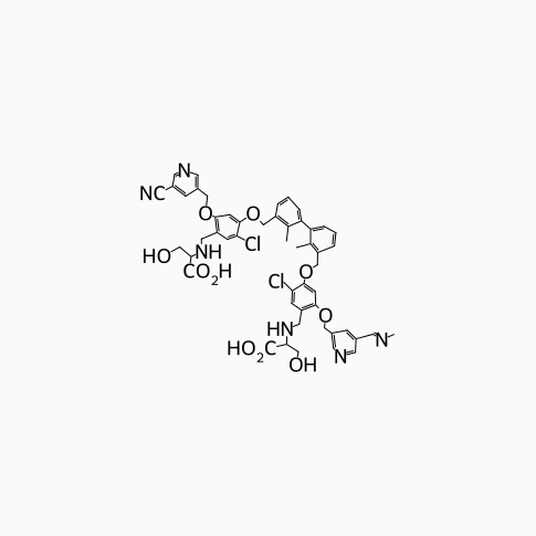 C/N=C/c1cncc(COc2cc(OCc3cccc(-c4cccc(COc5cc(OCc6cncc(C#N)c6)c(CNC(CO)C(=O)O)cc5Cl)c4C)c3C)c(Cl)cc2CNC(CO)C(=O)O)c1